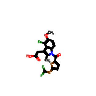 COc1ccc2c(c1F)c(CC(=O)O)c(C)n2C(=O)c1ccc(SC(F)F)s1